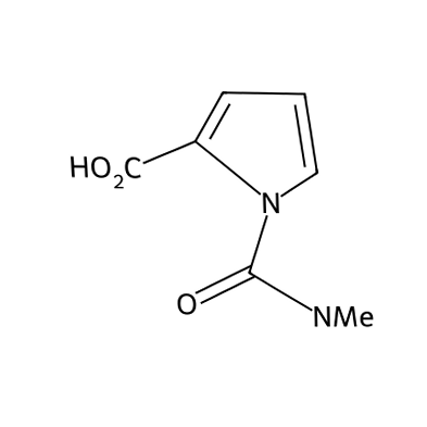 CNC(=O)n1cccc1C(=O)O